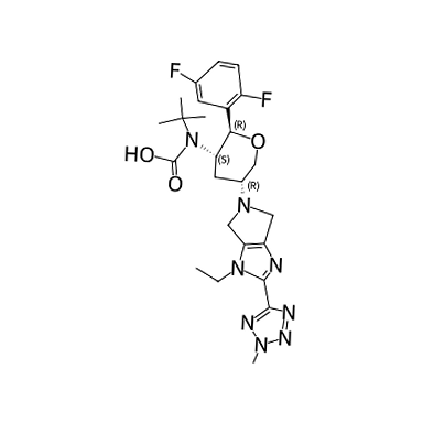 CCn1c(-c2nnn(C)n2)nc2c1CN([C@H]1CO[C@H](c3cc(F)ccc3F)[C@@H](N(C(=O)O)C(C)(C)C)C1)C2